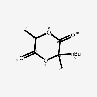 CCCCC1(C)OC(=O)C(C)OC1=O